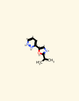 CC(C)c1ncc(-c2cccnn2)o1